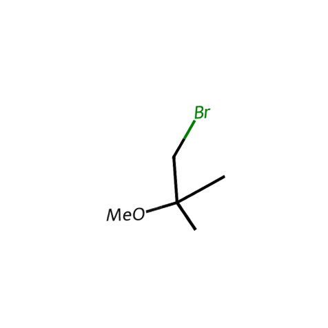 COC(C)(C)CBr